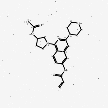 C=CC(=O)Nc1ccc2c(N3CCC(OC(N)=O)C3)nc(N3CCOCC3)cc2c1